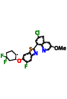 COc1cnc2c(-c3nc4cc(F)c(O[C@H]5[CH]CCC(F)(F)C5)cc4s3)cc(Cl)cc2c1